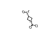 C[S+]([O-])C1CN(C(=O)Cl)C1